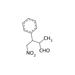 CC(C=O)C(C[N+](=O)[O-])c1ccccc1